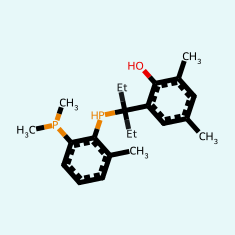 CCC(CC)(Pc1c(C)cccc1P(C)C)c1cc(C)cc(C)c1O